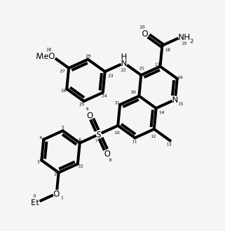 CCOc1cccc(S(=O)(=O)c2cc(C)c3ncc(C(N)=O)c(Nc4cccc(OC)c4)c3c2)c1